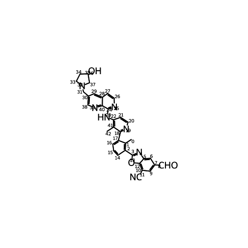 Cc1c(-c2nc3cc(C=O)cc(C#N)c3o2)cccc1-c1nccc(Nc2nccc3cc(CN4CC[C@@H](O)C4)cnc23)c1C